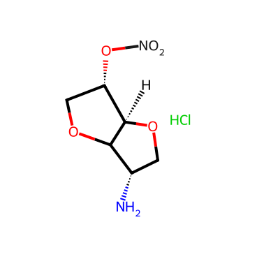 Cl.N[C@H]1CO[C@H]2C1OC[C@@H]2O[N+](=O)[O-]